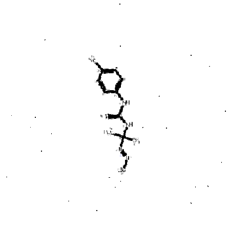 CC(C)(C)/N=N/C(C)(C)NC(=S)Nc1ccc(C#N)cc1